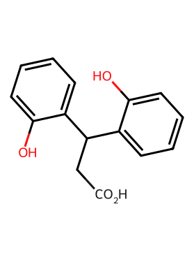 O=C(O)CC(c1ccccc1O)c1ccccc1O